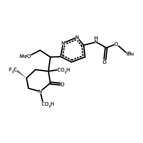 COCC(c1ccc(NC(=O)OC(C)(C)C)nn1)C1(C(=O)O)C[C@@H](C(F)(F)F)CN(C(=O)O)C1=O